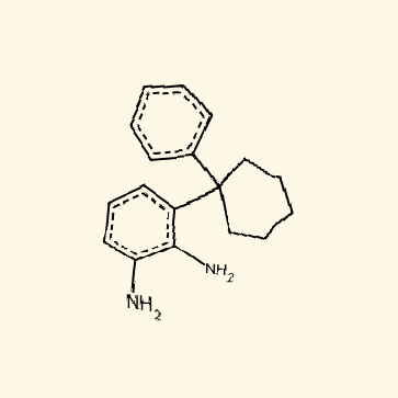 Nc1cccc(C2(c3ccccc3)CCCCC2)c1N